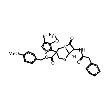 COc1ccc(COC(=O)C2(c3scc(Br)c3OC(F)(F)F)CS[C@@H]3C(NC(=O)Cc4ccccc4)C(=O)N3C2)cc1